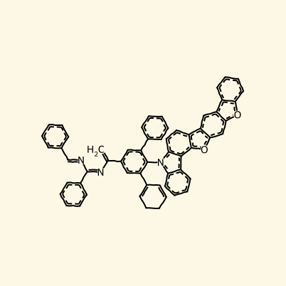 C=C(/N=C(\N=C\c1ccccc1)c1ccccc1)c1cc(C2=CCCC=C2)c(-n2c3ccccc3c3c4oc5cc6oc7ccccc7c6cc5c4ccc32)c(-c2ccccc2)c1